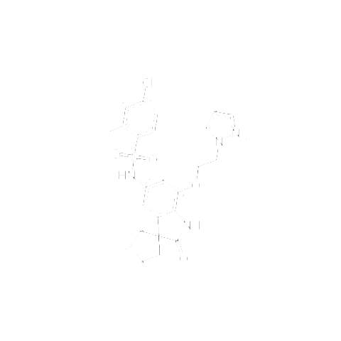 O=C1Nc2c(OCCn3cccn3)cc(NS(=O)(=O)c3ccc(Cl)cc3F)cc2C12CCCC2